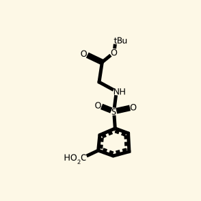 CC(C)(C)OC(=O)CNS(=O)(=O)c1cccc(C(=O)O)c1